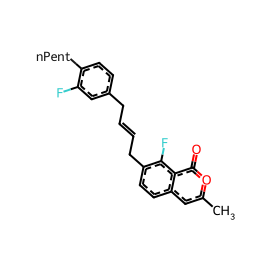 CCCCCc1ccc(C/C=C/Cc2ccc3cc(C)oc(=O)c3c2F)cc1F